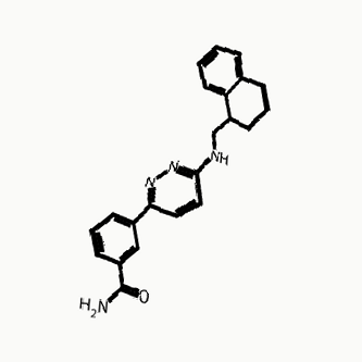 NC(=O)c1cccc(-c2ccc(NCC3CCCc4ccccc43)nn2)c1